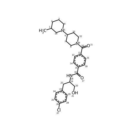 CC1CCCN(C2CCN(C(=O)c3ccc(C(=O)NC(CO)Cc4ccc(Cl)cc4)cc3)CC2)C1